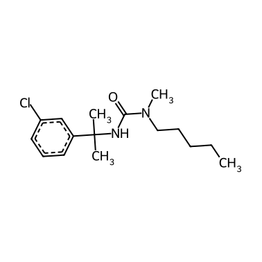 CCCCCN(C)C(=O)NC(C)(C)c1cccc(Cl)c1